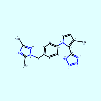 CCCCc1nc(C(C)CC)n(Cc2ccc(-n3ccc(C#N)c3-c3nnn[nH]3)cc2)n1